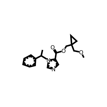 COCC1(COC(=O)c2cncn2C(C)c2ccccc2)CC1